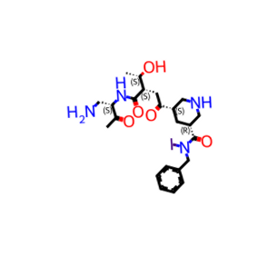 CC(=O)[C@H](CN)NC(=O)[C@@H](CC(=O)[C@@H]1CNC[C@H](C(=O)N(I)Cc2ccccc2)C1)[C@H](C)O